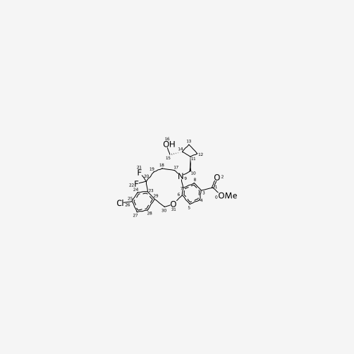 COC(=O)c1ccc2c(c1)N(C[C@@H]1CC[C@H]1CO)CCCC(F)(F)c1cc(Cl)ccc1CO2